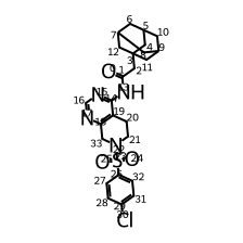 O=C(CC12CC3CC(CC(C3)C1)C2)Nc1ncnc2c1CCN(S(=O)(=O)c1ccc(Cl)cc1)C2